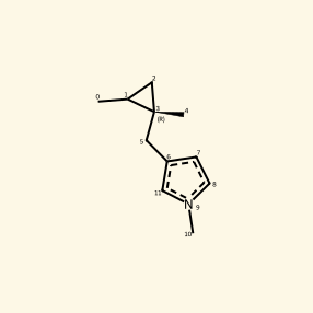 CC1C[C@]1(C)Cc1ccn(C)c1